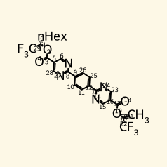 CCCCCC[C@H](OC(=O)c1cnc(-c2ccc(-c3ncc(C(=O)O[C@@H](C)C(F)(F)F)cn3)cc2)nc1)C(F)(F)F